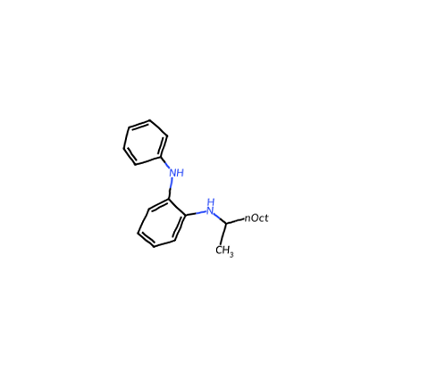 CCCCCCCCC(C)Nc1ccccc1Nc1ccccc1